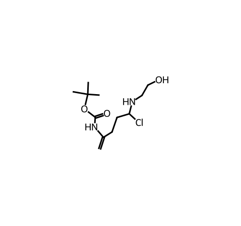 C=C(CCC(Cl)NCCO)NC(=O)OC(C)(C)C